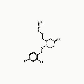 C=C=C[CH]CC1CC(=O)CCC1SCc1ccc(F)cc1Cl